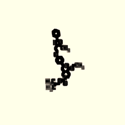 CCOC(=O)C1CCN(C(=O)OCC(C)C)CC1CCc1ccc(OCCc2nc(-c3ccccc3)oc2C)cc1